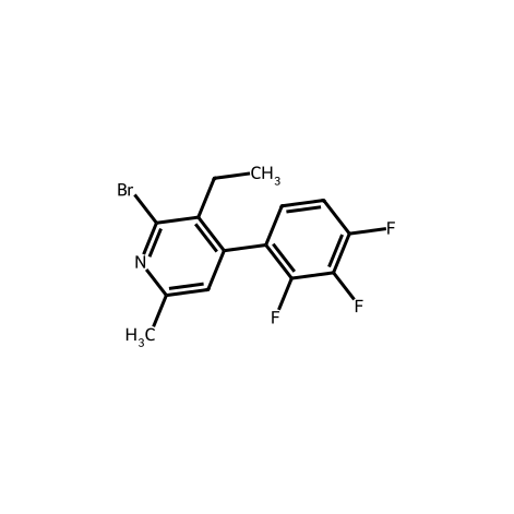 CCc1c(-c2ccc(F)c(F)c2F)cc(C)nc1Br